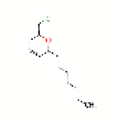 CCCCCCCC1C=CCC(CCl)O1